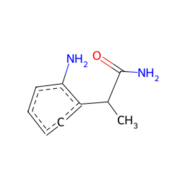 CC(C(N)=O)c1ccccc1N